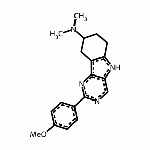 COc1ccc(-c2ncc3[nH]c4c(c3n2)CC(N(C)C)CC4)cc1